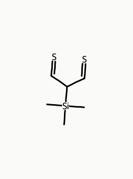 C[Si](C)(C)C(C=S)C=S